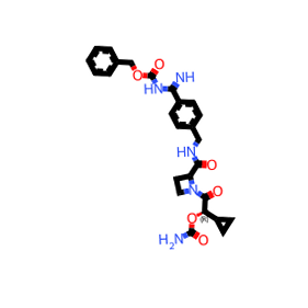 N=C(NC(=O)OCc1ccccc1)c1ccc(CNC(=O)C2CCN2C(=O)[C@H](OC(N)=O)C2CC2)cc1